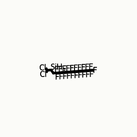 FC(F)(F)C(F)(F)C(F)(F)C(F)(F)C(F)(F)C(F)(F)C(F)(F)C(F)(F)C(F)(F)C(F)(F)CC([SiH3])C(Cl)Cl